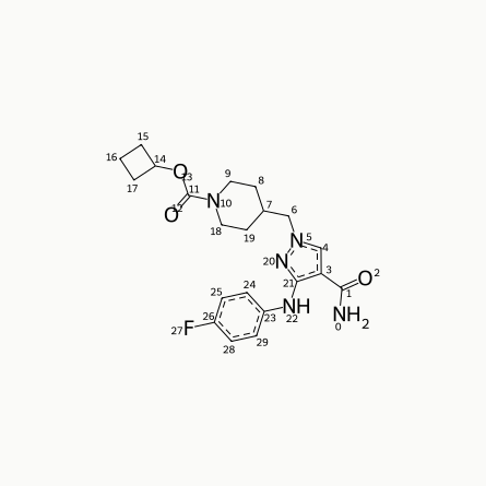 NC(=O)c1cn(CC2CCN(C(=O)OC3CCC3)CC2)nc1Nc1ccc(F)cc1